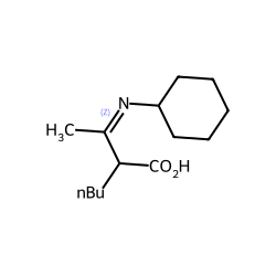 CCCCC(C(=O)O)/C(C)=N\C1CCCCC1